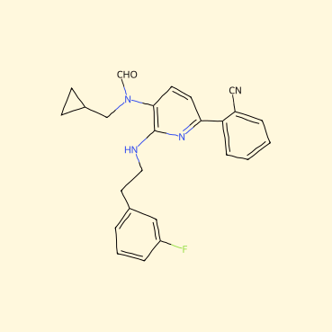 N#Cc1ccccc1-c1ccc(N(C=O)CC2CC2)c(NCCc2cccc(F)c2)n1